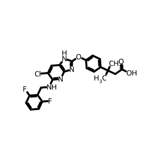 CC(C)(CC(=O)O)c1ccc(Oc2nc3nc(NCc4c(F)cccc4F)c(Cl)cc3[nH]2)cc1